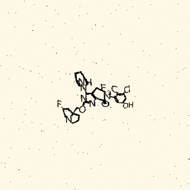 O=C1c2nc(OC[C@@]34CCCN3C[C@H](F)C4)nc(N3CC4CCC(C3)N4)c2CCN1c1cc(O)cc(Cl)c1C(F)(F)F